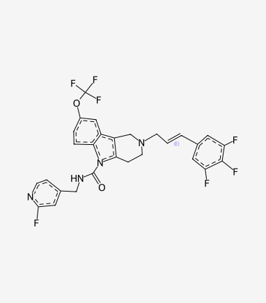 O=C(NCc1ccnc(F)c1)n1c2c(c3cc(OC(F)(F)F)ccc31)CN(C/C=C/c1cc(F)c(F)c(F)c1)CC2